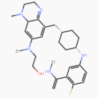 C=C(NCC)c1cc(N[C@H]2CC[C@@H](CC3=CC(N(CC)CCO)=CC4C3=NCCN4C)CC2)ccc1F